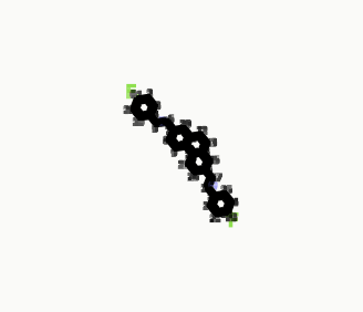 Fc1ccc(/C=C/c2ccc3c(ccc4cc(/C=C/c5ccc(F)cc5)ccc43)c2)cc1